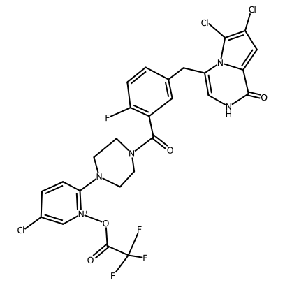 O=C(c1cc(Cc2c[nH]c(=O)c3cc(Cl)c(Cl)n23)ccc1F)N1CCN(c2ccc(Cl)c[n+]2OC(=O)C(F)(F)F)CC1